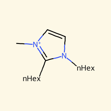 CCCCCCc1n(CCCCCC)cc[n+]1C